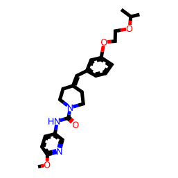 COc1ccc(NC(=O)N2CCC(=Cc3cccc(OCCOC(C)C)c3)CC2)cn1